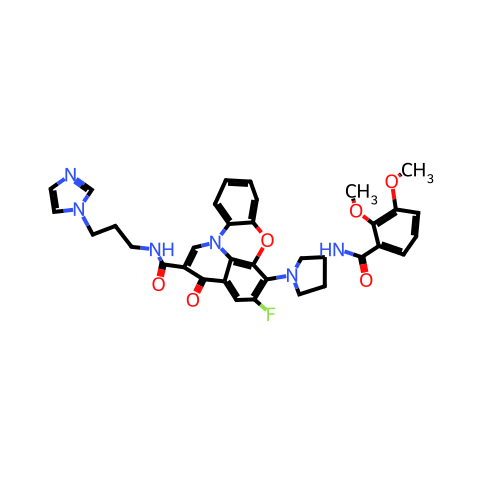 COc1cccc(C(=O)NC2CCN(c3c(F)cc4c(=O)c(C(=O)NCCCn5ccnc5)cn5c4c3Oc3ccccc3-5)C2)c1OC